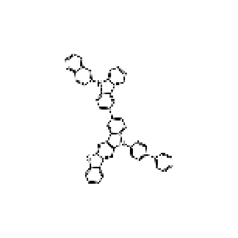 c1ccc(-c2ccc(-n3c4ccc(-c5ccc6c(c5)c5ccccc5n6-c5ccc6ccccc6c5)cc4c4cc5sc6ccccc6c5cc43)cc2)cc1